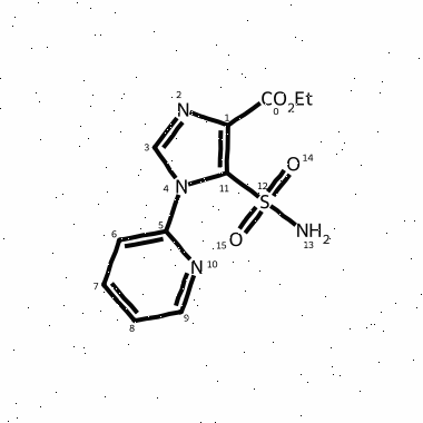 CCOC(=O)c1ncn(-c2ccccn2)c1S(N)(=O)=O